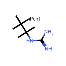 CCCC(C)C(C)(C)C(C)(C)NC(=N)N